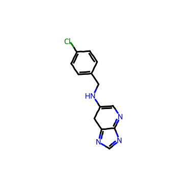 Clc1ccc(CNC2=CN=C3N=CN=C3C2)cc1